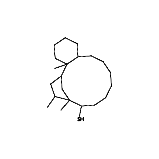 CC1CC2CC1(C)C(S)CCCCCCC1CCCCC12C